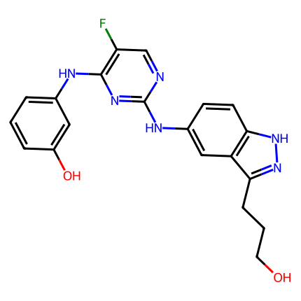 OCCCc1n[nH]c2ccc(Nc3ncc(F)c(Nc4cccc(O)c4)n3)cc12